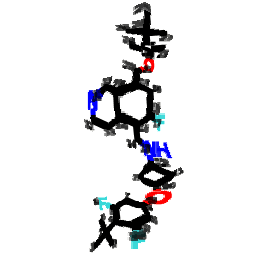 CC(C)(C)c1c(F)cc(O[C@H]2C[C@H](NCc3c(F)cc(CO[Si](C)(C)C(C)(C)C)c4cnccc34)C2)cc1F